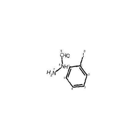 Ic1ccccc1.NNC=O